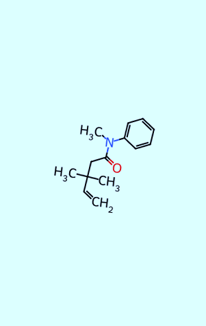 C=CC(C)(C)CC(=O)N(C)c1ccccc1